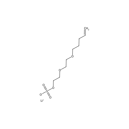 C=CCCCOCCOCCOS(=O)(=O)[O-].[Li+]